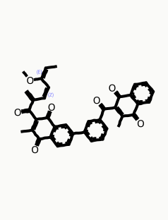 C=C(/C=C\C(=C/C)OC)C(=O)C1=C(C)C(=O)c2ccc(-c3cccc(C(=O)C4=C(C)C(=O)c5ccccc5C4=O)c3)cc2C1=O